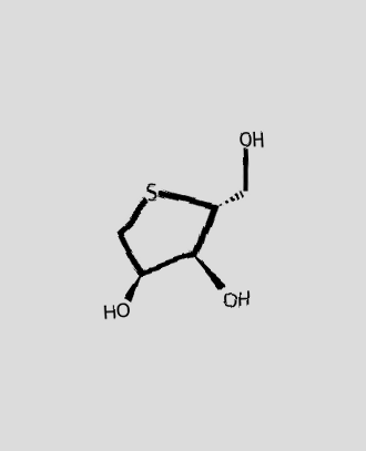 OC[C@H]1SC[C@H](O)[C@@H]1O